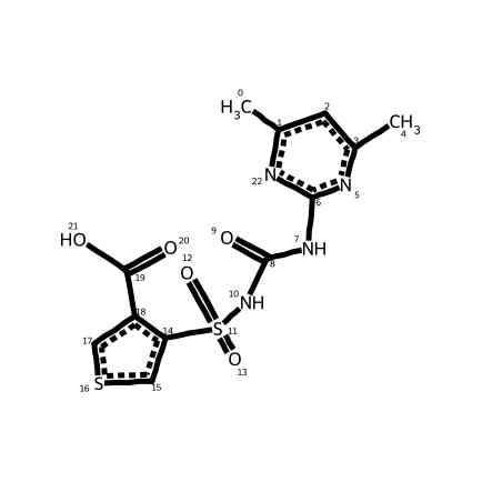 Cc1cc(C)nc(NC(=O)NS(=O)(=O)c2cscc2C(=O)O)n1